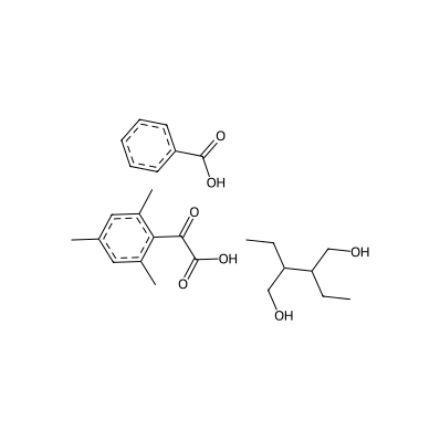 CCC(CO)C(CC)CO.Cc1cc(C)c(C(=O)C(=O)O)c(C)c1.O=C(O)c1ccccc1